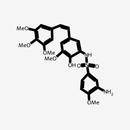 COc1ccc(S(=O)(=O)Nc2cc(/C=C\c3cc(OC)c(OC)c(OC)c3)cc(OC)c2O)cc1N